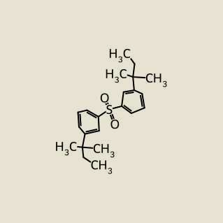 CCC(C)(C)c1cccc(S(=O)(=O)c2cccc(C(C)(C)CC)c2)c1